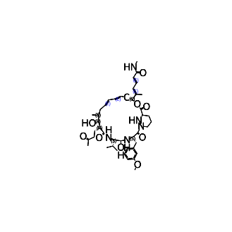 CNC(=O)/C=C/C=C(\C)[C@@H]1C/C=C/C=C/C[C@H](C)[C@@H](O)[C@@H](CCC(C)=O)C(=O)N[C@@H](C(C)C)C(O)N[C@@H](Cc2cccc(OC)c2)C(=O)N2CCCC(N2)C(=O)O1